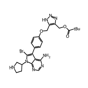 CC(C)(C)C(=O)OCc1nn[nH]c1COc1ccc(-c2c(Br)n(C3CCNC3)c3ncnc(N)c23)cc1